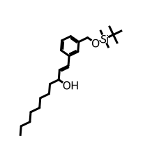 CCCCCCCCC(O)C=Cc1cccc(CO[Si](C)(C)C(C)(C)C)c1